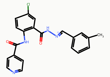 Cc1cccc(/C=N/NC(=O)c2cc(Cl)ccc2NC(=O)c2ccncc2)c1